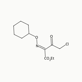 CCOC(=O)C(=NOC1CCCCC1)C(=O)CCl